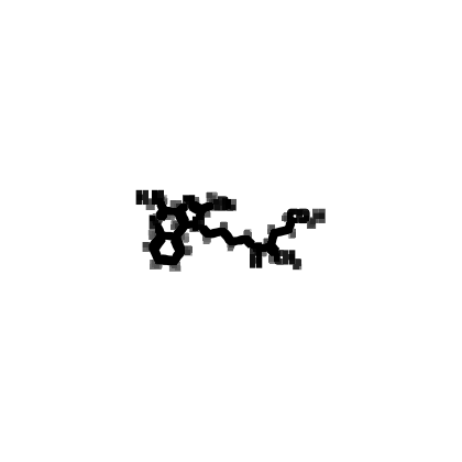 C=C(CCC(=O)O)NCCCCn1c(CCCC)nc2c(N)nc3ccccc3c21